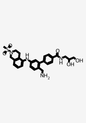 CS(=O)(=O)N1CCc2c(cccc2Nc2ccc(CN)c(-c3ccc(C(=O)NCC(O)CO)cc3)c2)C1